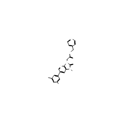 Cn1c(=O)n(CC(=O)NCc2ccncc2)c2ncc(-c3cc(Cl)cc(Cl)c3)cc21